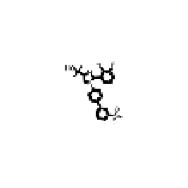 CC(C)(O)c1cn(-c2ccc(-c3cccc(S(C)(=O)=O)c3)cc2)c(-c2cccc(F)c2Cl)n1